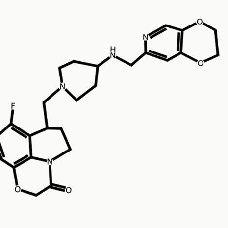 O=C1COc2ccc(F)c3c2N1CCC3CN1CCC(NCc2cc3c(cn2)OCCO3)CC1